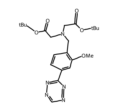 COc1cc(-c2nncnn2)ccc1CN(CC(=O)OC(C)(C)C)CC(=O)OC(C)(C)C